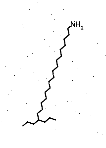 CCCC(CCC)CCCCCCCCCCCCCCCCCN